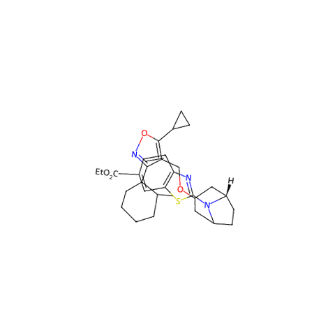 CCOC(=O)c1ccc2nc(N3C4CC[C@H]3CC(OCc3c(C5CCCCC5C)noc3C3CC3)C4)sc2c1